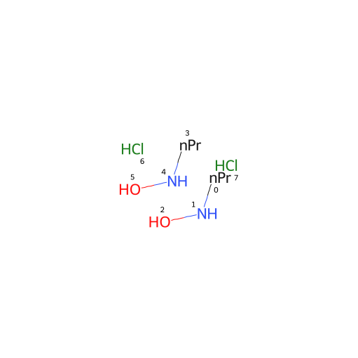 CCCNO.CCCNO.Cl.Cl